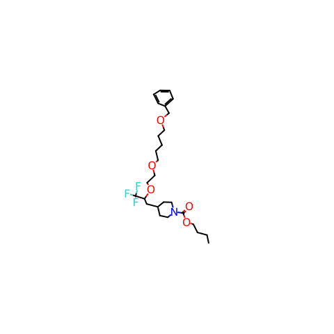 CCCCOC(=O)N1CCC(CC(OCCOCCCCCOCc2ccccc2)C(F)(F)F)CC1